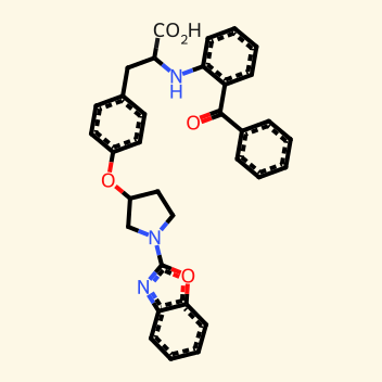 O=C(c1ccccc1)c1ccccc1NC(Cc1ccc(OC2CCN(c3nc4ccccc4o3)C2)cc1)C(=O)O